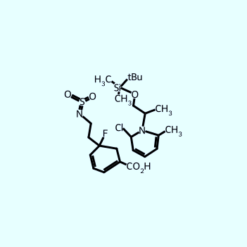 CC1=CC=CC(Cl)N1C(C)CO[Si](C)(C)C(C)(C)C.O=C(O)C1=CC=CC(F)(CCN=S(=O)=O)C1